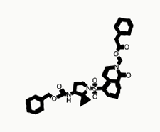 O=C(Cc1ccccc1)OCn1ccc2c(S(=O)(=O)N3CCC(NC(=O)OCc4ccccc4)C34CC4)cccc2c1=O